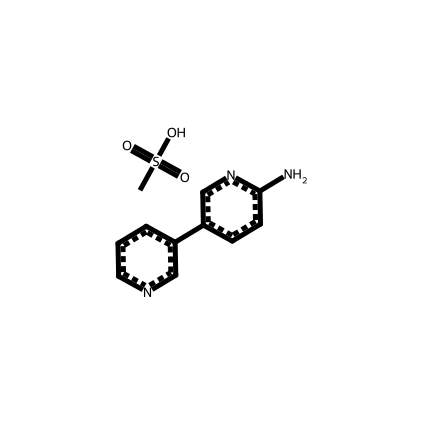 CS(=O)(=O)O.Nc1ccc(-c2cccnc2)cn1